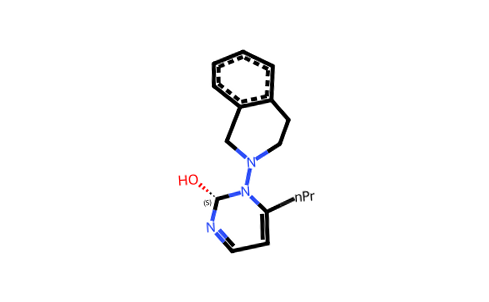 CCCC1=CC=N[C@H](O)N1N1CCc2ccccc2C1